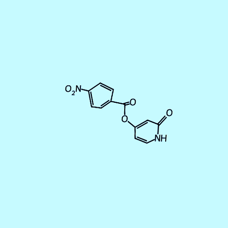 O=C(Oc1cc[nH]c(=O)c1)c1ccc([N+](=O)[O-])cc1